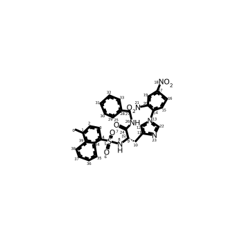 Cc1ccc(S(=O)(=O)N[C@@H](Cc2cn(-c3ccc([N+](=O)[O-])cc3[N+](=O)[O-])cn2)C(=O)NCc2ccccc2)c2ccccc12